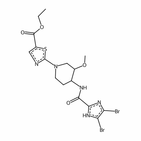 CCOC(=O)c1cnc(N2CCC(NC(=O)c3nc(Br)c(Br)[nH]3)C(OC)C2)s1